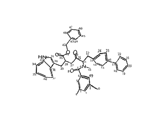 Cc1cc(C)cc(C(=O)N(C)C(Cc2ccc(-c3ccccc3)cc2)C(=O)CC(Cc2c[nH]c3ccccc23)C(=O)OCc2ccccc2)c1